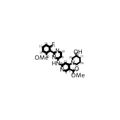 COC(=O)c1cnc(Nc2ccnc(-c3c(F)cccc3OC)n2)cc1N1CCC[C@H](O)C1